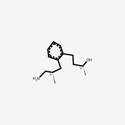 C[C@H](CN)Cc1ccccc1CC[C@@H](C)O